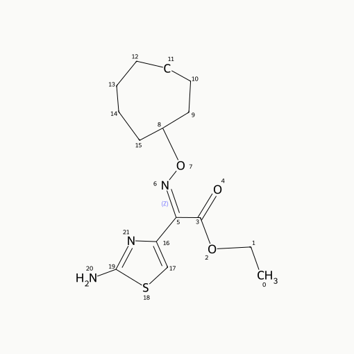 CCOC(=O)/C(=N\OC1CCCCCCC1)c1csc(N)n1